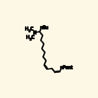 CCCCC/C=C\C/C=C\CCCCCCCC(CCCC)N(C)C